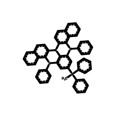 C[Si](c1ccccc1)(c1ccccc1)c1cc2c3c(c1)N(c1ccccc1)c1c(ccc4ccccc14)B3c1ccc3ccccc3c1N2c1ccccc1